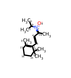 CC1=C(/C=C/C(C)=[N+](/[O-])C(C)C)C(C)(C)CCC1